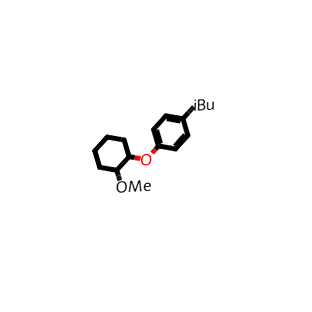 CCC(C)c1ccc(OC2CCCCC2OC)cc1